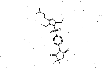 CCc1nn(CCN(C)C)c(CC)c1S(=O)(=O)c1ccc(N2C(=O)CC(C)(C)C2=O)cc1